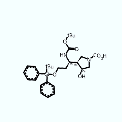 CC(C)(C)OC(=O)N[C@H](CCO[Si](c1ccccc1)(c1ccccc1)C(C)(C)C)[C@H]1CN(C(=O)O)C[C@H]1O